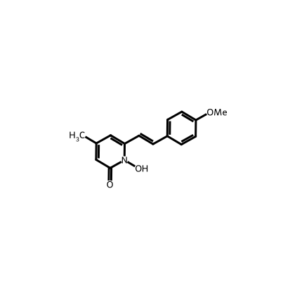 COc1ccc(/C=C/c2cc(C)cc(=O)n2O)cc1